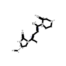 CC/C(=C\C=C(/C)N1C[C@H](CI)OC1=O)N1CCOCC1=O